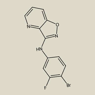 Fc1cc(Nc2noc3cccnc23)ccc1Br